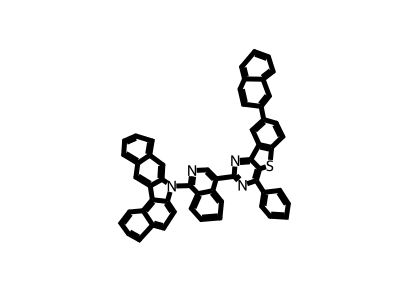 c1ccc(-c2nc(-c3cnc(-n4c5cc6ccccc6cc5c5c6ccccc6ccc54)c4ccccc34)nc3c2sc2ccc(-c4ccc5ccccc5c4)cc23)cc1